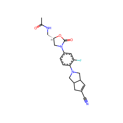 CC(=O)NC[C@H]1CN(c2ccc(N3CC4C=C(C#N)CC4C3)c(F)c2)C(=O)O1